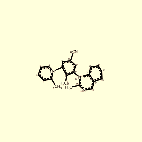 Cc1c(-[n+]2ccccc2C)cc(C#N)cc1-[n+]1c(C)ncc2ccccc21